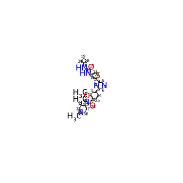 COc1cc(-c2cncc(-c3cc(NC(=O)NC4CCC4)cs3)n2)ccc1C(=O)N(C)C1CCN(C)CC1